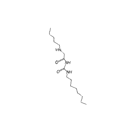 CCCCCCCCNC(=O)NC(=O)CNCCCCC